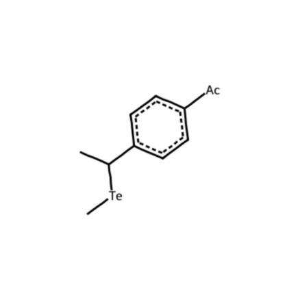 C[Te]C(C)c1ccc(C(C)=O)cc1